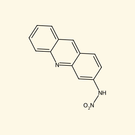 O=[N+]([O-])Nc1ccc2cc3ccccc3nc2c1